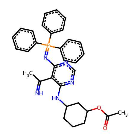 CC(=N)c1c(N=P(c2ccccc2)(c2ccccc2)c2ccccc2)ncnc1NC1CCCC(OC(C)=O)C1